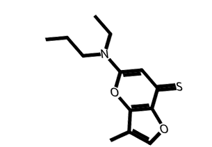 CCCN(CC)c1cc(=S)c2occ(C)c2o1